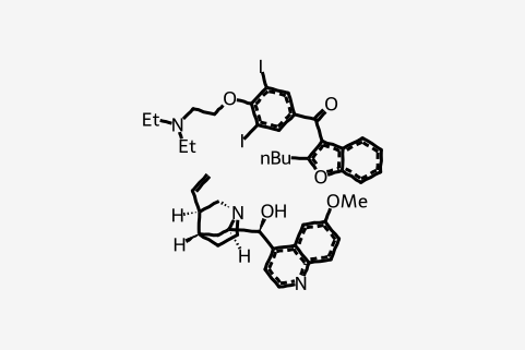 C=C[C@H]1C[N@]2CC[C@H]1C[C@@H]2[C@@H](O)c1ccnc2ccc(OC)cc12.CCCCc1oc2ccccc2c1C(=O)c1cc(I)c(OCCN(CC)CC)c(I)c1